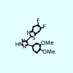 COc1ccc(-c2n[nH]nc2-c2nc3cc(F)c(F)cc3s2)cc1OC